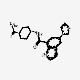 CNC(=O)[C@H]1CC[C@@H](NC(=O)c2cc(-n3ccnc3)cc3cc[nH]c23)CC1